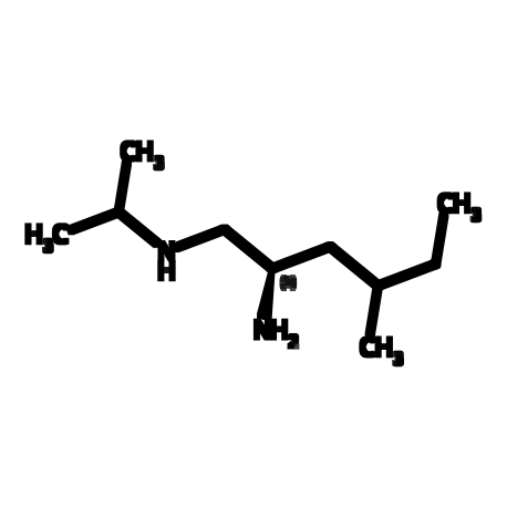 CCC(C)C[C@@H](N)CNC(C)C